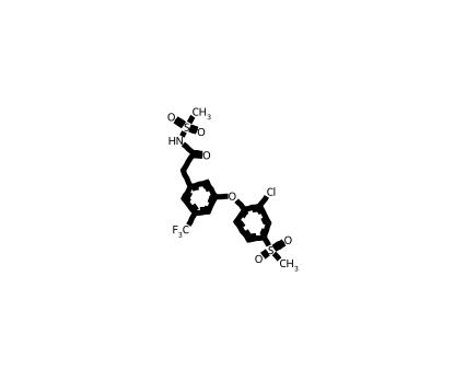 CS(=O)(=O)NC(=O)Cc1cc(Oc2ccc(S(C)(=O)=O)cc2Cl)cc(C(F)(F)F)c1